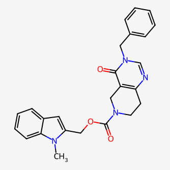 Cn1c(COC(=O)N2CCc3ncn(Cc4ccccc4)c(=O)c3C2)cc2ccccc21